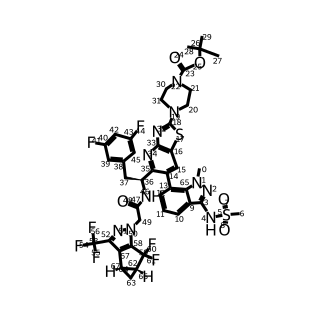 Cn1nc(NS(C)(=O)=O)c2cccc(-c3cc4sc(N5CCN(C(=O)OC(C)(C)C)CC5)nc4nc3[C@H](Cc3cc(F)cc(F)c3)NC(=O)Cn3nc(C(F)(F)F)c4c3C(F)(F)[C@@H]3C[C@H]43)c21